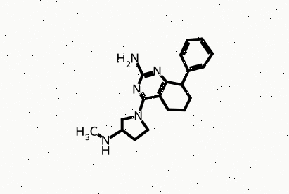 CNC1CCN(c2nc(N)nc3c2CCCC3c2ccccc2)C1